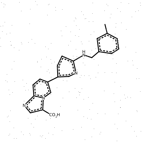 Cc1cccc(CNc2ccc(-c3ccc4ncc(C(=O)O)n4c3)cn2)c1